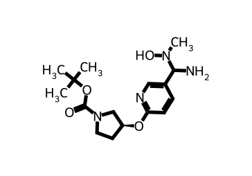 CN(O)C(N)c1ccc(O[C@H]2CCN(C(=O)OC(C)(C)C)C2)nc1